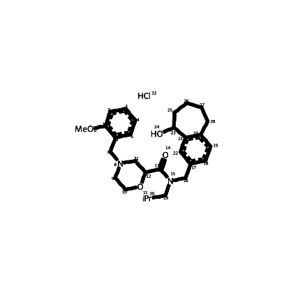 COc1ccccc1CN1CCOC(C(=O)N(Cc2ccc3c(c2)C(O)CCCC3)CC(C)C)C1.Cl